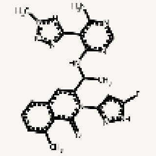 Cc1cccc2cc(C(C)Nc3ncnc(N)c3-c3nnn(C)n3)n(-c3cc(F)[nH]n3)c(=O)c12